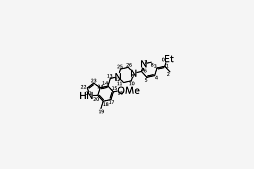 CC/C(C)=C/C=C\C(=N/C)N1CCN(Cc2c(OC)cc(C)c3[nH]ccc23)CC1